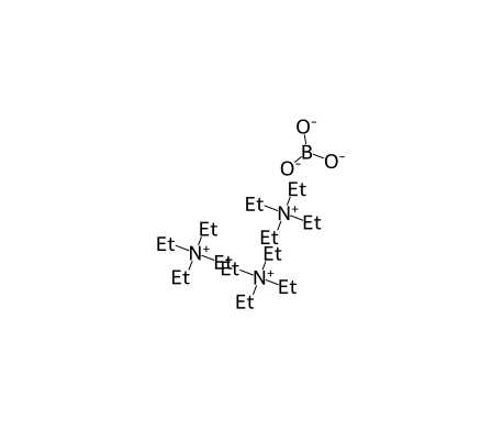 CC[N+](CC)(CC)CC.CC[N+](CC)(CC)CC.CC[N+](CC)(CC)CC.[O-]B([O-])[O-]